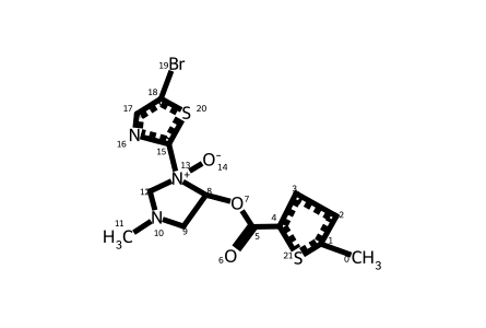 Cc1ccc(C(=O)OC2CN(C)C[N+]2([O-])c2ncc(Br)s2)s1